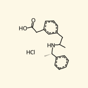 CC(Cc1cccc(CC(=O)O)c1)N[C@@H](C)c1ccccc1.Cl